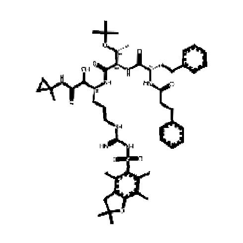 Cc1c(C)c(S(=O)(=O)NC(=N)NCCC[C@H](NC(=O)[C@H](NC(=O)[C@H](CCc2ccccc2)NC(=O)CCc2ccccc2)[C@@H](C)OC(C)(C)C)C(O)C(=O)NC2(C)CC2)c(C)c2c1OC(C)(C)C2